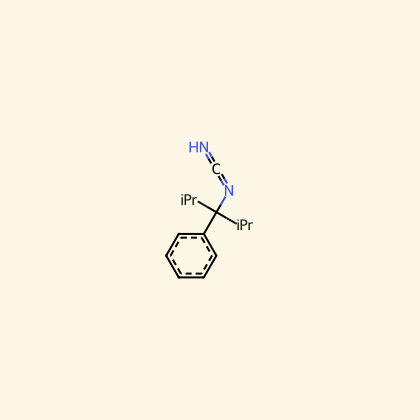 CC(C)C(N=C=N)(c1ccccc1)C(C)C